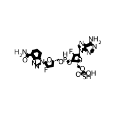 NC(=O)c1cccc2c1nnn2[C@@H]1O[C@H](COPO[C@H]2[C@@H](F)[C@H](n3cnc4c(N)ncnc43)O[C@@H]2COP(=O)(O)S)C[C@H]1F